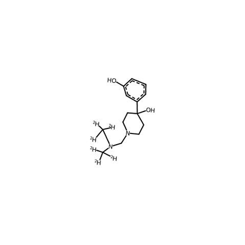 [2H]C([2H])([2H])N(CN1CCC(O)(c2cccc(O)c2)CC1)C([2H])([2H])[2H]